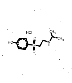 CC(C)NCCS(=O)(=O)c1ccc(O)cc1.Cl